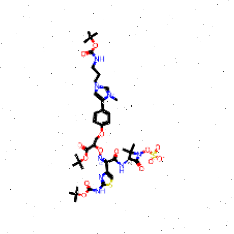 C[n+]1cn(CCCNC(=O)OC(C)(C)C)cc1-c1ccc(OCC(O/N=C(\C(=O)N[C@@H]2C(=O)N(OS(=O)(=O)[O-])C2(C)C)c2csc(NC(=O)OC(C)(C)C)n2)C(=O)OC(C)(C)C)cc1